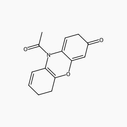 CC(=O)N1C2=CCC(=O)C=C2OC2=C1C=CCC2